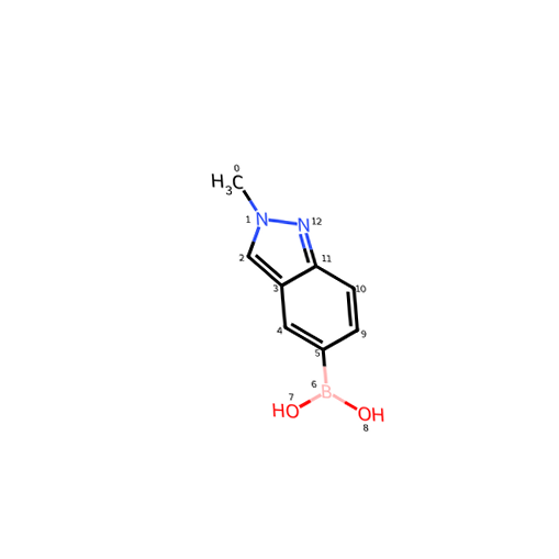 Cn1cc2cc(B(O)O)ccc2n1